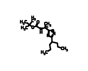 CCCC(CCC)c1noc([C@H](C)NC(=O)OC(C)(C)C)n1